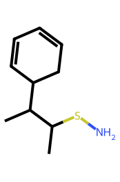 CC(SN)C(C)C1C=CC=CC1